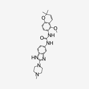 COc1c(NC(=O)Nc2ccc3[nH]c(N4CCN(C)CC4)nc3c2)ccc2c1C=CC(C)(C)O2